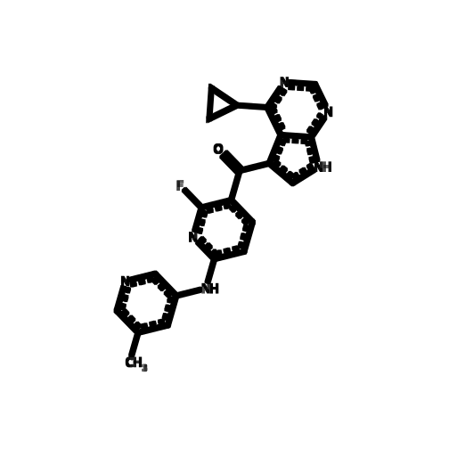 Cc1cncc(Nc2ccc(C(=O)c3c[nH]c4ncnc(C5CC5)c34)c(F)n2)c1